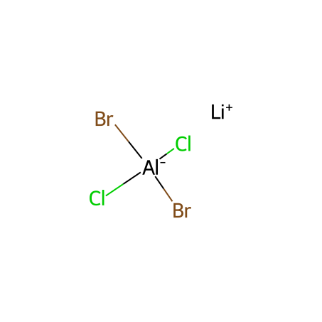 [Cl][Al-]([Cl])([Br])[Br].[Li+]